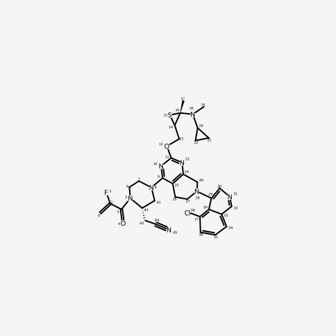 C=C(F)C(=O)N1CCN(c2nc(OCC3S[C@]3(C)N(C)C3CC3)nc3c2CCN(c2cncc4cccc(Cl)c24)C3)C[C@@H]1CC#N